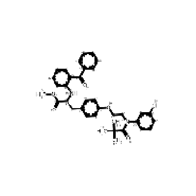 COC(=O)[C@H](Cc1ccc(OCCN(C(=O)C(C)(C)C)c2cccc(Cl)c2)cc1)Nc1ccccc1C(=O)c1ccccc1